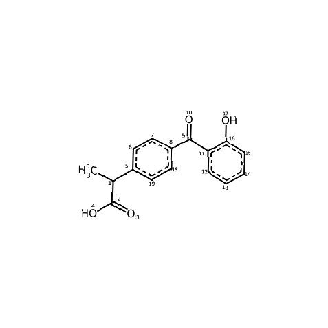 CC(C(=O)O)c1ccc(C(=O)c2ccccc2O)cc1